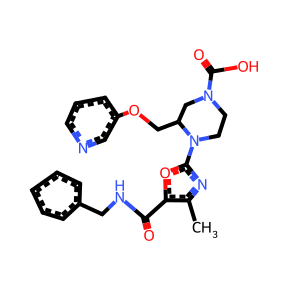 Cc1nc(N2CCN(C(=O)O)CC2COc2cccnc2)oc1C(=O)NCc1ccccc1